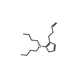 C=CCCC1=[C]([Zr]([CH2]CCC)[CH2]CCC)CC=C1